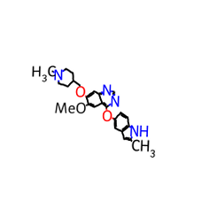 COc1cc2c(Oc3ccc4[nH]c(C)cc4c3)ncnc2cc1OCC1CCN(C)CC1